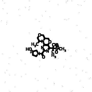 CC1COCC2COc3c(nc(C(=O)N4CC[C@@H](O)C4)nc3C(C)(C)S(C)(=O)=O)N12